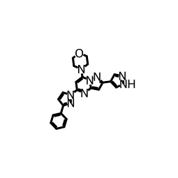 c1ccc(-c2ccn(-c3cc(N4CCOCC4)n4nc(-c5cn[nH]c5)cc4n3)n2)cc1